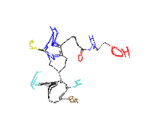 O=C(Cc1[nH]c(=S)n2c1CC(c1c(F)ccc(Br)c1F)C2)NCCO